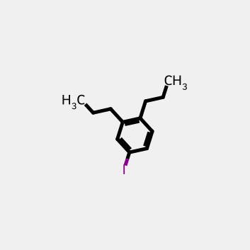 CCCc1ccc(I)cc1CCC